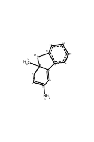 CC12CC=C(N)C=C1c1ccccc1S2